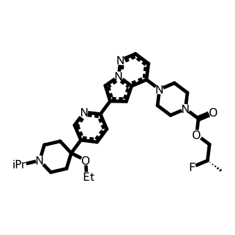 CCOC1(c2ccc(-c3cc4c(N5CCN(C(=O)OC[C@H](C)F)CC5)ccnn4c3)nc2)CCN(C(C)C)CC1